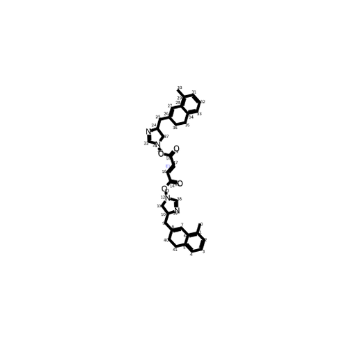 Cc1cccc2c1C=C(CC1CN(OC(=O)/C=C/C(=O)ON3C=NC(CC4=Cc5c(C)cccc5CC4)C3)C=N1)CC2